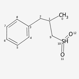 CC(Cc1ccccc1)C[SH](=O)=O